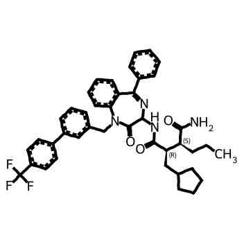 CCC[C@H](C(N)=O)[C@@H](CC1CCCC1)C(=O)NC1N=C(c2ccccc2)c2ccccc2N(Cc2cccc(-c3ccc(C(F)(F)F)cc3)c2)C1=O